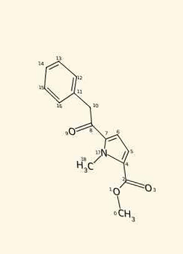 COC(=O)c1ccc(C(=O)Cc2ccccc2)n1C